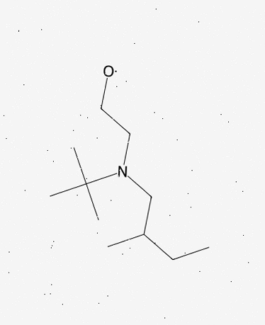 CCC(C)CN(CC[O])C(C)(C)C